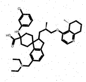 CCN(CC)Cc1ccc2c(c1)C1(CCC(Nc3cccc(Cl)c3)(C(=O)O)CC1)C(C[C@@H](C)COc1ccnc3c1[C@H](C)CCC3)C2